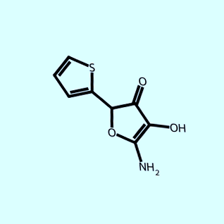 NC1=C(O)C(=O)C(c2cccs2)O1